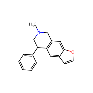 CN1Cc2cc3occc3cc2C(c2ccccc2)C1